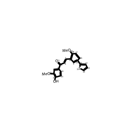 COc1cc(C(=O)/C=C/c2cc(-c3cccs3)ccc2OC)ccc1O